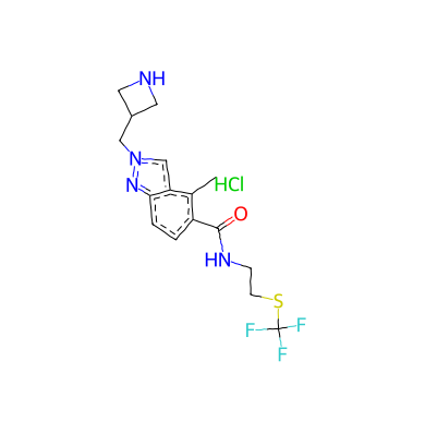 Cc1c(C(=O)NCCSC(F)(F)F)ccc2nn(CC3CNC3)cc12.Cl